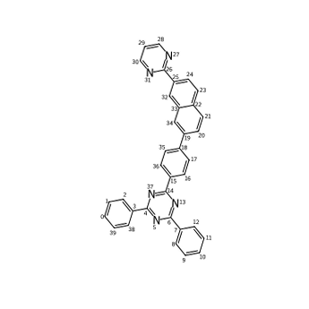 c1ccc(-c2nc(-c3ccccc3)nc(-c3ccc(-c4ccc5ccc(-c6ncccn6)cc5c4)cc3)n2)cc1